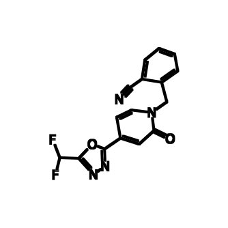 N#Cc1ccccc1Cn1ccc(-c2nnc(C(F)F)o2)cc1=O